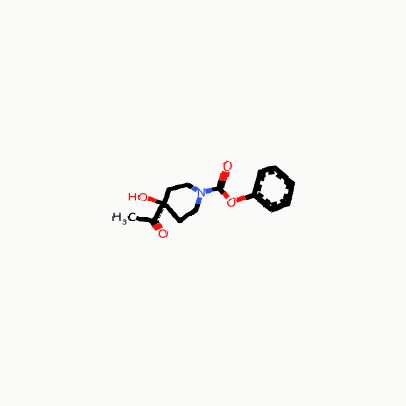 CC(=O)C1(O)CCN(C(=O)Oc2ccccc2)CC1